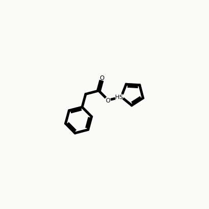 O=C(Cc1ccccc1)O[SH]1C=CC=C1